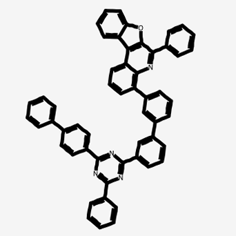 c1ccc(-c2ccc(-c3nc(-c4ccccc4)nc(-c4cccc(-c5cccc(-c6cccc7c6nc(-c6ccccc6)c6oc8ccccc8c67)c5)c4)n3)cc2)cc1